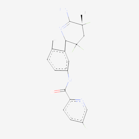 C[C@@]1(F)CC(F)(F)[C@]2(Cc3ccc(NC(=O)c4ccc(F)cn4)cc32)N=C1N